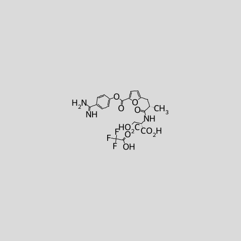 C[C@@H](Cc1ccc(C(=O)Oc2ccc(C(=N)N)cc2)o1)C(=O)N[C@@H](CC(=O)O)C(=O)O.O=C(O)C(F)(F)F